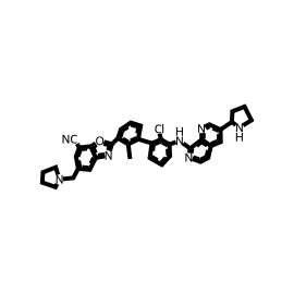 Cc1c(-c2nc3cc(CN4CCCC4)cc(C#N)c3o2)cccc1-c1cccc(Nc2nccc3cc(C4CCCN4)cnc23)c1Cl